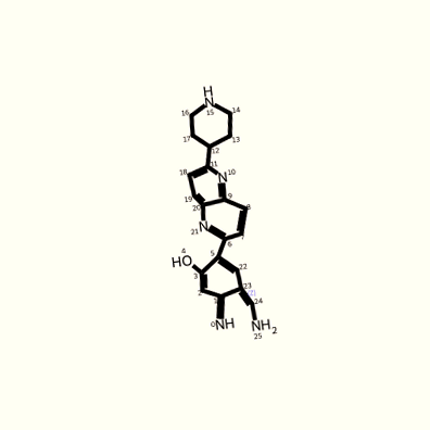 N=C1C=C(O)C(c2ccc3nc(C4CCNCC4)ccc3n2)=C/C1=C/N